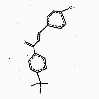 CC(C)(C)c1ccc(C(=O)C=Cc2ccc(O)cc2)cc1